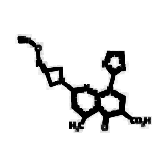 Cc1cc(N2CC(=NOC(C)(C)C)C2)nc2c1c(=O)c(C(=O)O)cn2-c1nccs1